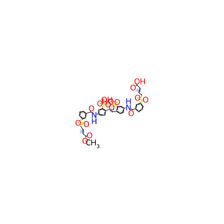 COC(=O)/C=C/CS(=O)(=O)c1cccc(C(=O)Nc2ccc(/C=C/c3ccc(NC(=O)c4cccc(S(=O)(=O)C/C=C/C(=O)O)c4)cc3S(=O)(=O)O)c(S(=O)(=O)O)c2)c1